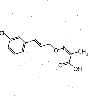 CC(=NOCC=Cc1cccc(Cl)c1)C(=O)O